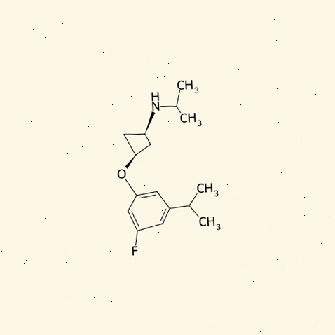 CC(C)N[C@H]1C[C@@H](Oc2cc(F)cc(C(C)C)c2)C1